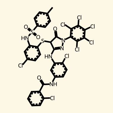 Cc1ccc(S(=O)(=O)Nc2cc(Cl)ccc2SC2C(=O)N(c3c(Cl)c(Cl)c(Cl)c(Cl)c3Cl)N=C2Nc2cc(NC(=O)c3ccccc3Cl)ccc2Cl)cc1